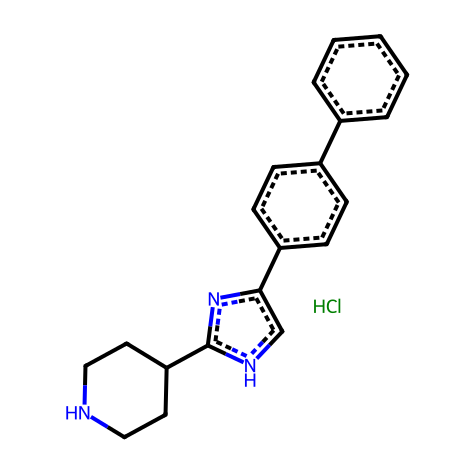 Cl.c1ccc(-c2ccc(-c3c[nH]c(C4CCNCC4)n3)cc2)cc1